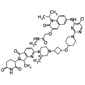 CNC(=O)COc1cc2cc(Nc3nc(N4CCC(OC5CC(N6CCN(c7ccc8c(n7)C(C)N(C7CCC(=O)NC7=O)C8=O)[C@H](C)C6)C5)CC4)ncc3Cl)ccc2n(C(C)C)c1=O